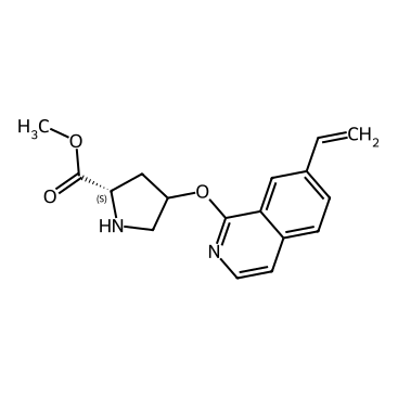 C=Cc1ccc2ccnc(OC3CN[C@H](C(=O)OC)C3)c2c1